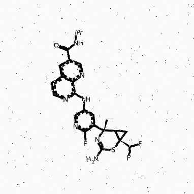 CC(C)NC(=O)c1cnc2c(Nc3cnc(F)c([C@@]4(C)N=C(N)S[C@@]5(C(F)F)CC54)c3)nccc2c1